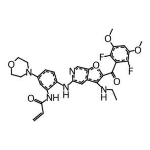 C=CC(=O)Nc1cc(N2CCOCC2)ccc1Nc1cc2c(NCC)c(C(=O)c3c(F)c(OC)cc(OC)c3F)oc2cn1